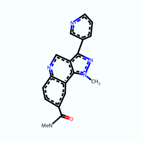 CNC(=O)c1ccc2ncc3c(-c4cccnc4)nn(C)c3c2c1